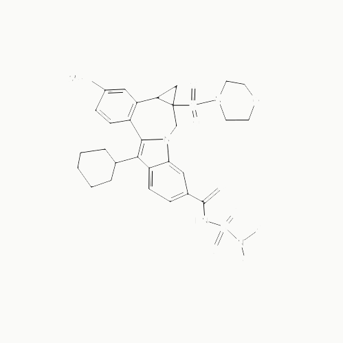 COc1ccc2c(c1)C1CC1(S(=O)(=O)N1CCOCC1)Cn1c-2c(C2CCCCC2)c2ccc(C(=O)NS(=O)(=O)N(C)C)cc21